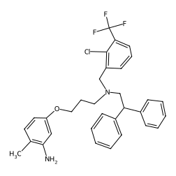 Cc1ccc(OCCCN(Cc2cccc(C(F)(F)F)c2Cl)CC(c2ccccc2)c2ccccc2)cc1N